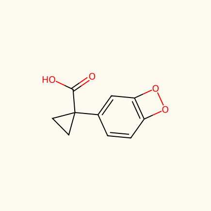 O=C(O)C1(c2ccc3ooc3c2)CC1